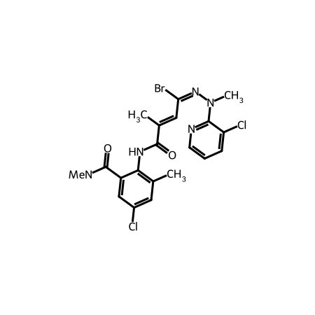 CNC(=O)c1cc(Cl)cc(C)c1NC(=O)/C(C)=C/C(Br)=N\N(C)c1ncccc1Cl